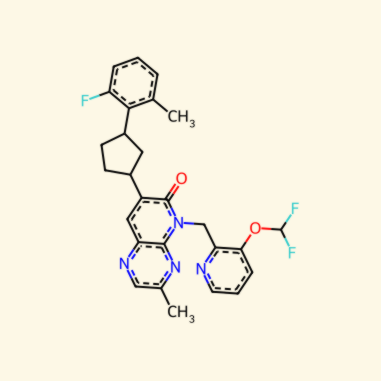 Cc1cnc2cc(C3CCC(c4c(C)cccc4F)C3)c(=O)n(Cc3ncccc3OC(F)F)c2n1